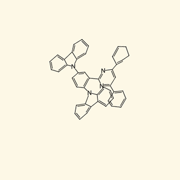 C1=CC(c2cc(-c3ccccc3)nc(-c3cc(-n4c5ccccc5c5ccccc54)ccc3-n3c4ccccc4c4ccccc43)n2)=CCC1